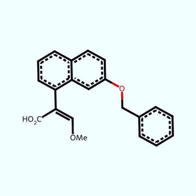 COC=C(C(=O)O)c1cccc2ccc(OCc3ccccc3)cc12